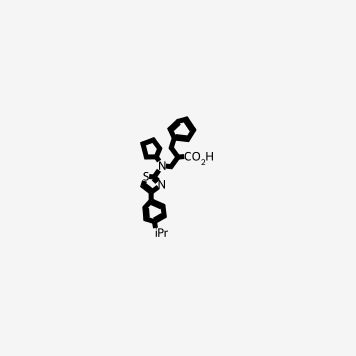 CC(C)c1ccc(-c2csc(N(CC(Cc3ccccc3)C(=O)O)C3CCCC3)n2)cc1